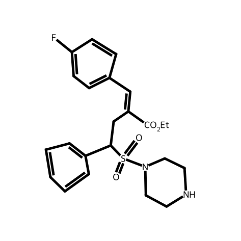 CCOC(=O)C(=Cc1ccc(F)cc1)CC(c1ccccc1)S(=O)(=O)N1CCNCC1